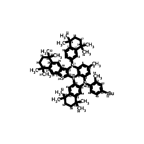 Cc1cc2c3c(c1)N(c1ccc4c(c1)C(C)(C)CCC4(C)C)c1c(sc4cc5c(cc14)C(C)(C)CCC5(C)C)B3c1cc3c(cc1N2c1ccc(C(C)(C)C)cc1C)C(C)(C)CCC3(C)C